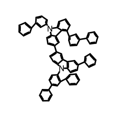 c1ccc(-c2cccc(-c3cccc4c3c3cc(-c5ccc6c(c5)c5cc(-c7ccccc7)ccc5n6-c5ccc(-c6ccccc6)cc5-c5ccccc5)ccc3n4-c3cccc(-c4ccccc4)c3)c2)cc1